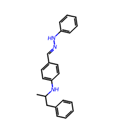 CC(Cc1ccccc1)Nc1ccc(C=NNc2ccccc2)cc1